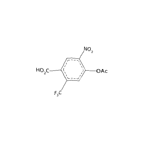 CC(=O)Oc1cc(C(F)(F)F)c(C(=O)O)cc1[N+](=O)[O-]